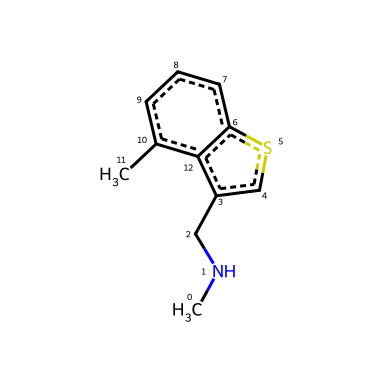 CNCc1csc2cccc(C)c12